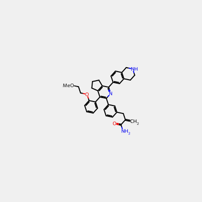 C=C(Cc1cccc(-c2nc(-c3ccc4c(c3)CCNC4)c3c(c2-c2ccccc2OCCOC)CCC3)c1)C(N)=O